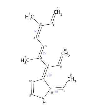 C=C\C(C)=C/C=C(C)/C(C=C)=c1\ccs\c1=C\C